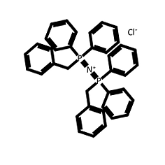 [Cl-].c1ccc(CP(=[N+]=P(Cc2ccccc2)(c2ccccc2)c2ccccc2)(c2ccccc2)c2ccccc2)cc1